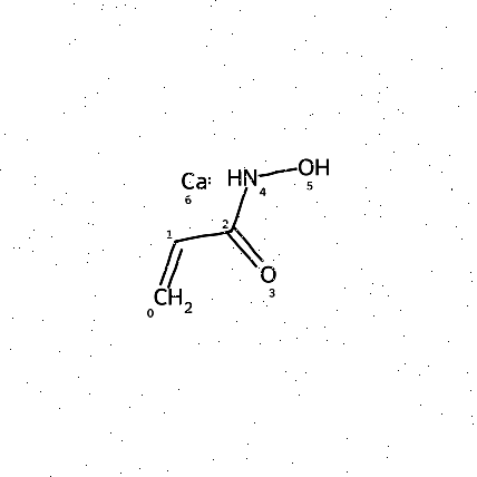 C=CC(=O)NO.[Ca]